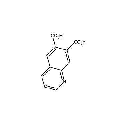 O=C(O)c1cc2cccnc2cc1C(=O)O